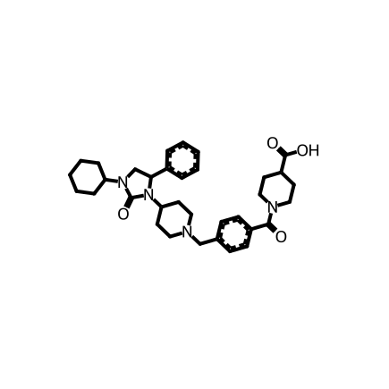 O=C(O)C1CCN(C(=O)c2ccc(CN3CCC(N4C(=O)N(C5CCCCC5)CC4c4ccccc4)CC3)cc2)CC1